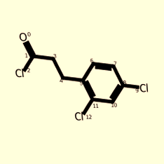 O=C(Cl)CCc1ccc(Cl)cc1Cl